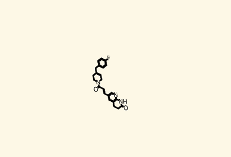 O=C1CCc2cc(C=CC(=O)N3CC=C(Cc4ccc(F)cc4)CC3)cnc2N1